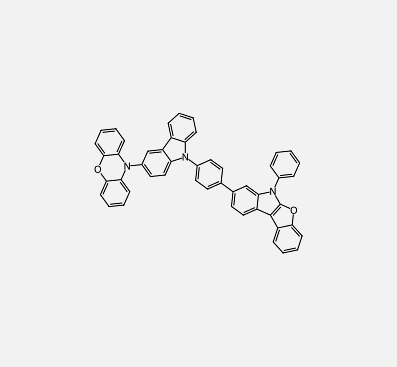 c1ccc(-n2c3cc(-c4ccc(-n5c6ccccc6c6cc(N7c8ccccc8Oc8ccccc87)ccc65)cc4)ccc3c3c4ccccc4oc32)cc1